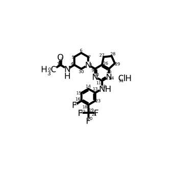 CC(=O)NC1CCCN(c2nc(Nc3ccc(F)c(C(F)(F)F)c3)nc3c2CCC3)C1.Cl